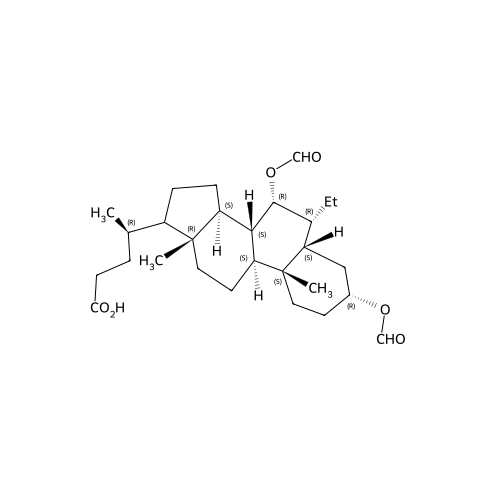 CC[C@H]1[C@@H](OC=O)[C@@H]2[C@H](CC[C@]3(C)C([C@H](C)CCC(=O)O)CC[C@@H]23)[C@@]2(C)CC[C@@H](OC=O)C[C@@H]12